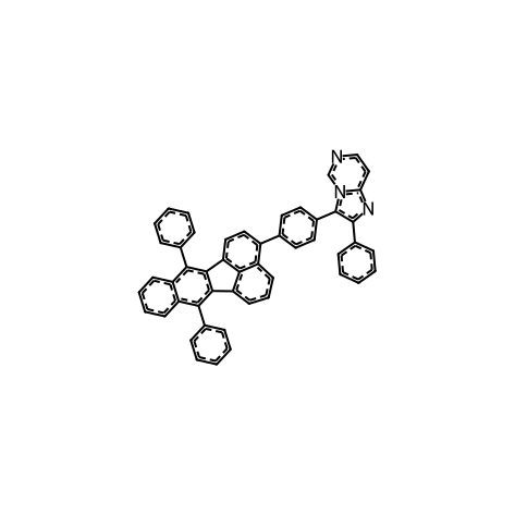 c1ccc(-c2nc3ccncn3c2-c2ccc(-c3ccc4c5c(cccc35)-c3c-4c(-c4ccccc4)c4ccccc4c3-c3ccccc3)cc2)cc1